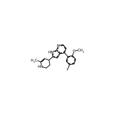 COc1ccc(F)cc1-c1ccnc2[nH]c(C3C=C(C)NCC3)cc12